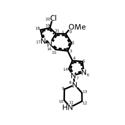 COc1cc(-c2cnn(N3CCNCC3)c2)cn2ncc(Cl)c12